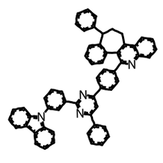 c1ccc(-c2cc(-c3ccc(-c4nc5ccccc5c5c4-c4ccccc4C(c4ccccc4)CC5)cc3)nc(-c3cccc(-n4c5ccccc5c5ccccc54)c3)n2)cc1